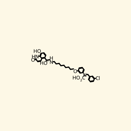 O=C(O)N(Cc1cccc(Cl)c1)c1cccc(OCCCCCCCCCNC[C@H](O)c2ccc(O)c3[nH]c(=O)ccc23)c1